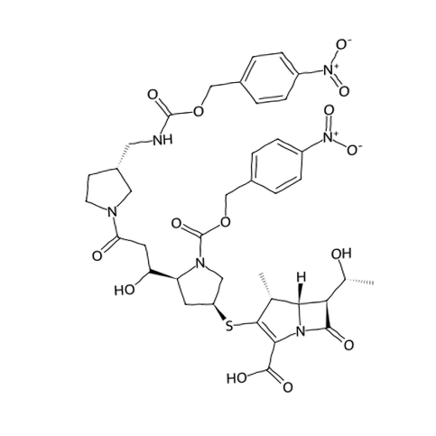 C[C@@H](O)[C@H]1C(=O)N2C(C(=O)O)=C(S[C@H]3C[C@@H](C(O)CC(=O)N4CC[C@H](CNC(=O)OCc5ccc([N+](=O)[O-])cc5)C4)N(C(=O)OCc4ccc([N+](=O)[O-])cc4)C3)[C@H](C)[C@H]12